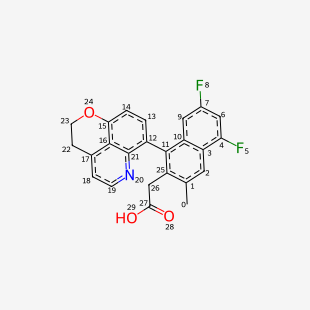 Cc1cc2c(F)cc(F)cc2c(-c2ccc3c4c(ccnc24)CCO3)c1CC(=O)O